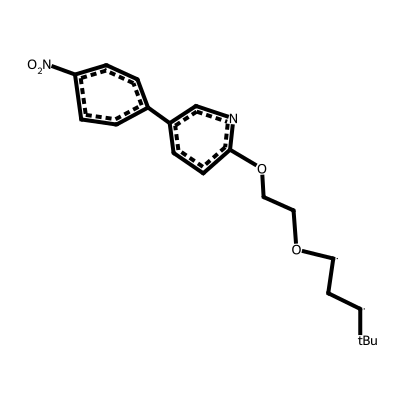 CC(C)(C)[CH]C[CH]OCCOc1ccc(-c2ccc([N+](=O)[O-])cc2)cn1